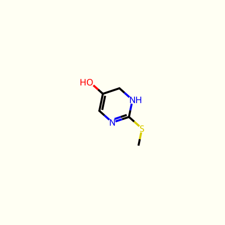 CSC1=NC=C(O)CN1